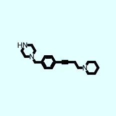 C(#Cc1ccc(CN2CCNCC2)cc1)CCN1CCCCC1